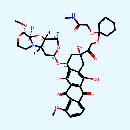 CNC(=O)COC1(OCC(=O)[C@]2(O)Cc3c(O)c4c(c(O)c3[C@@H](O[C@H]3C[C@H]5[C@H](O[C@@H]6[C@@H](OC)OCCN65)[C@H](C)O3)C2)C(=O)c2c(OC)cccc2C4=O)CCCCC1